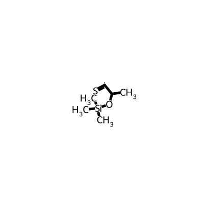 CC([C]=S)O[Si](C)(C)C